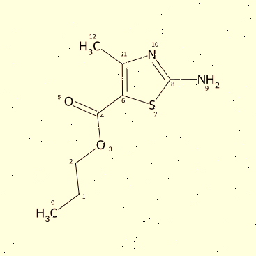 CCCOC(=O)c1sc(N)nc1C